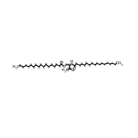 CCCCCCCCCCCCCCCCCC(=O)NC(COC(=O)CCCCCCCCCCCCCCCCC)C(N)=O